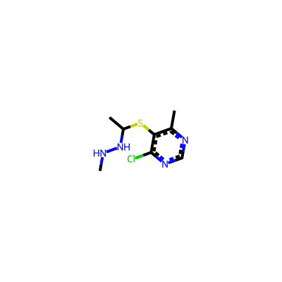 CNNC(C)Sc1c(C)ncnc1Cl